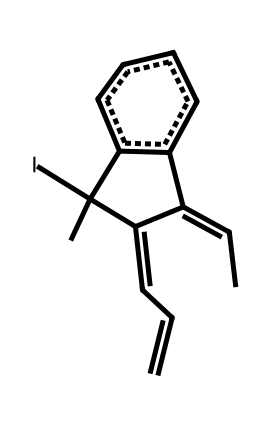 C=C/C=C1\C(=C/C)c2ccccc2C1(C)I